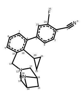 N#Cc1ccc(-c2cccc(CN3CC4CC(C3)N4)c2C2CC2)cc1F